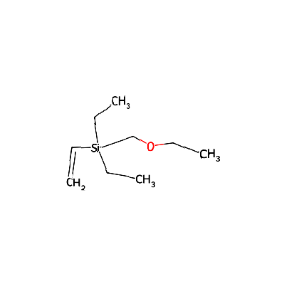 C=C[Si](CC)(CC)COCC